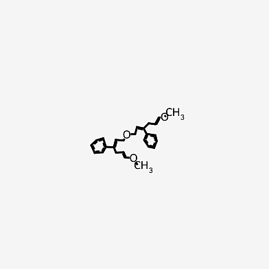 COC=CCC(=CCOCC=C(CC=COC)c1ccccc1)c1ccccc1